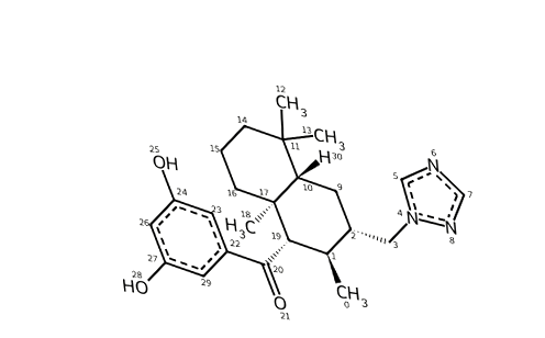 C[C@@H]1[C@@H](Cn2cncn2)C[C@H]2C(C)(C)CCC[C@]2(C)[C@H]1C(=O)c1cc(O)cc(O)c1